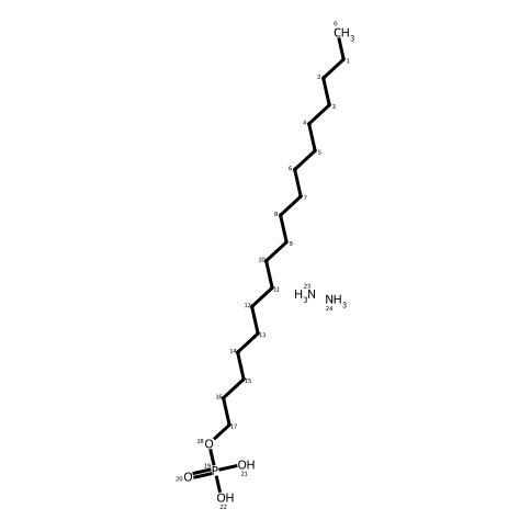 CCCCCCCCCCCCCCCCCCOP(=O)(O)O.N.N